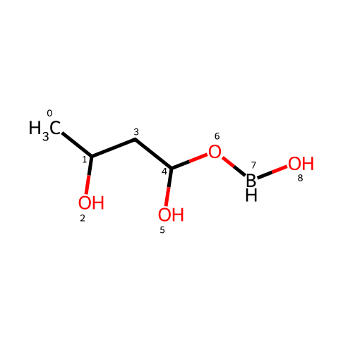 CC(O)CC(O)OBO